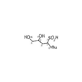 CCCCC(CC(O)CO)S(=O)(=O)O